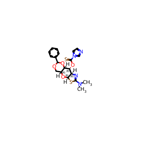 CN(C)C1=N[C@@H]2[C@@H](OC(=S)n3ccnc3)[C@@H]3OC(c4ccccc4)OC[C@H]3O[C@@H]2S1